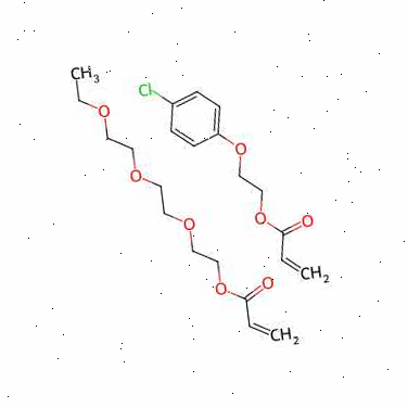 C=CC(=O)OCCOCCOCCOCC.C=CC(=O)OCCOc1ccc(Cl)cc1